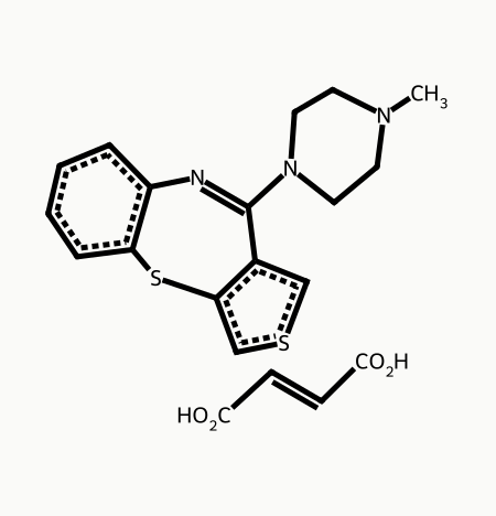 CN1CCN(C2=Nc3ccccc3Sc3cscc32)CC1.O=C(O)C=CC(=O)O